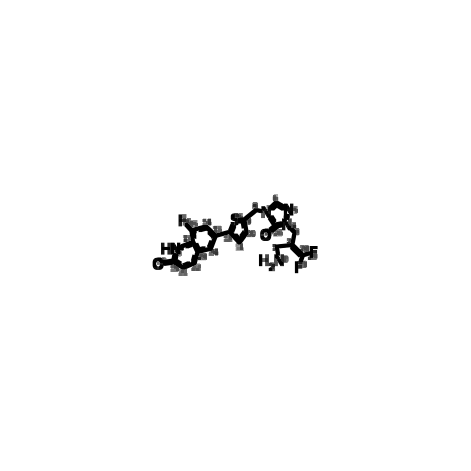 NCC(Cn1ncn(Cc2ccc(-c3cc(F)c4[nH]c(=O)ccc4c3)s2)c1=O)=C(F)F